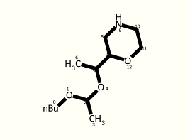 CCCCOC(C)OC(C)C1CNCCO1